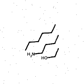 CCCCCC.CCCCN.CCO